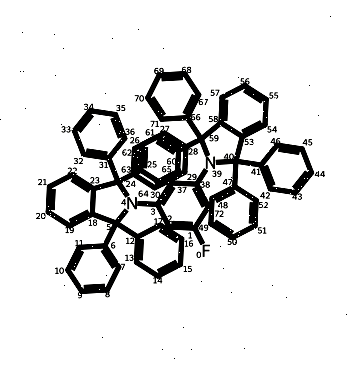 Fc1cc(N2C(c3ccccc3)(c3ccccc3)c3ccccc3C2(c2ccccc2)c2ccccc2)cc(N2C(c3ccccc3)(c3ccccc3)c3ccccc3C2(c2ccccc2)c2ccccc2)c1